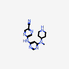 CN(c1cc(Nc2cnc(C#N)cn2)ncn1)C1CCNCC1